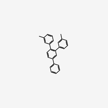 Cc1cccc(-c2ccc(-c3ccccc3)cc2-c2cccc(C)c2)c1